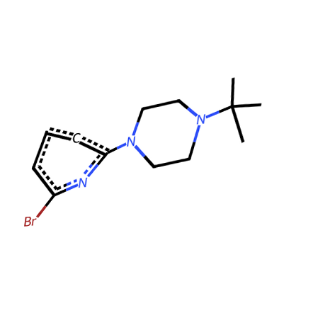 CC(C)(C)N1CCN(c2cccc(Br)n2)CC1